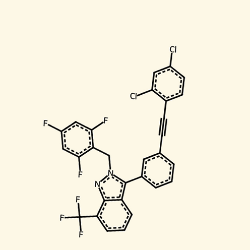 Fc1cc(F)c(Cn2nc3c(C(F)(F)F)cccc3c2-c2cccc(C#Cc3ccc(Cl)cc3Cl)c2)c(F)c1